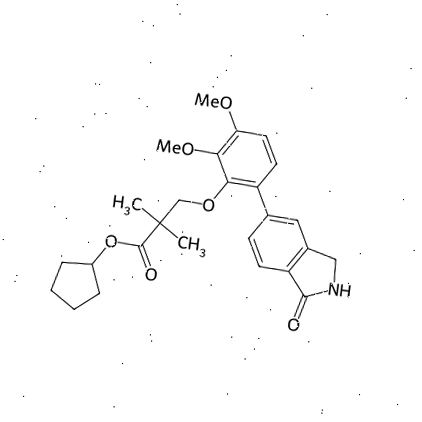 COc1ccc(-c2ccc3c(c2)CNC3=O)c(OCC(C)(C)C(=O)OC2CCCC2)c1OC